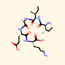 CC[C@H](C)[C@H](N)C(=O)N[C@H](C(=O)N[C@@H](C)C(=O)N[C@@H](CCC(=O)O)C(=O)N[C@@H](CCCCN)C(=O)O)[C@@H](C)CC